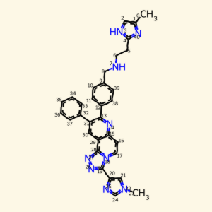 Cc1c[nH]c(CCNCc2ccc(-c3nc4ccn5c(-c6cn(C)cn6)nnc5c4cc3-c3ccccc3)cc2)n1